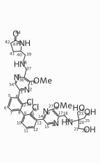 COc1nc(-c2cccc(-c3cccc(-c4cnc(CNC(CO)(CO)CO)c(OC)n4)c3Cl)c2Cl)cnc1CNCC1CCC(=O)N1